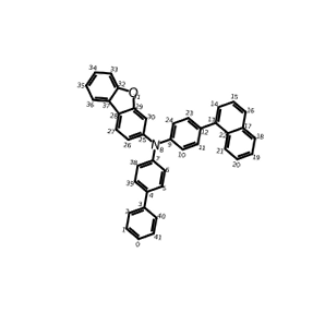 c1ccc(-c2ccc(N(c3ccc(-c4cccc5ccccc45)cc3)c3ccc4c(c3)oc3ccccc34)cc2)cc1